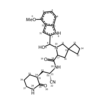 COc1cccc2[nH]c(C(O)N3CC4(CCC4)CC3C(=O)N[C@H](C#N)C[C@@H]3CCCNC3=O)cc12